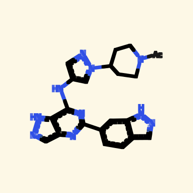 CC(=O)N1CCC(n2cc(Nc3nc(-c4ccc5cn[nH]c5c4)nc4cn[nH]c34)cn2)CC1